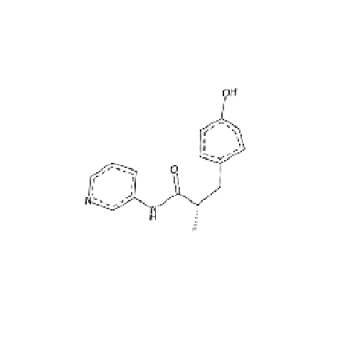 C[C@@H](Cc1ccc(O)cc1)C(=O)Nc1cccnc1